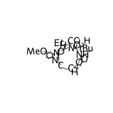 CC[C@@H]1[C@@H]2CN(C(=O)[C@H](C(C)(C)C)NC(=O)O[C@]3(C)C[C@H]3CCCCCc3nc4ccc(OC)cc4nc3O2)[C@@H]1C(=O)O